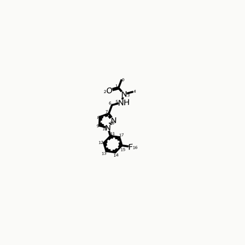 CC(=O)N(C)NCc1ccn(-c2cccc(F)c2)n1